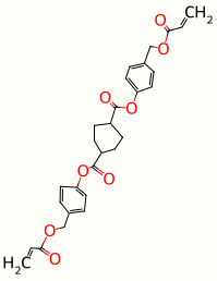 C=CC(=O)OCc1ccc(OC(=O)C2CCC(C(=O)Oc3ccc(COC(=O)C=C)cc3)CC2)cc1